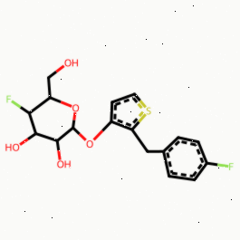 OCC1OC(Oc2ccsc2Cc2ccc(F)cc2)C(O)C(O)C1F